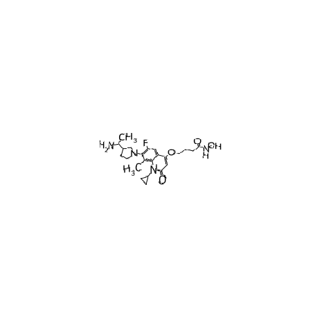 Cc1c(N2CCC([C@H](C)N)C2)c(F)cc2c(OCCCC(=O)NO)cc(=O)n(C3CC3)c12